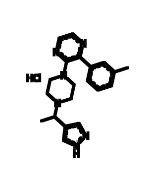 Cc1cccc(-c2nccnc2N2CCN(C(C)c3cn[nH]c3)CC2)c1.Cl